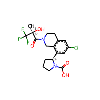 C[C@](O)(C(=O)N1CCc2cc(Cl)cc([C@@H]3CCCN3C(=O)O)c2C1)C(F)(F)F